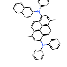 CC1=CC(N(c2ccccc2)c2ccccc2)C2=CCc3c(C)cc(N(c4ccccc4)c4ccc5ccccc5c4)c4ccc1c2c34